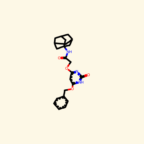 O=C(COc1cc(OCc2ccccc2)[nH]c(=O)n1)NC12CC3CC(CC(C3)C1)C2